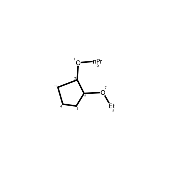 CCCOC1CCCC1OCC